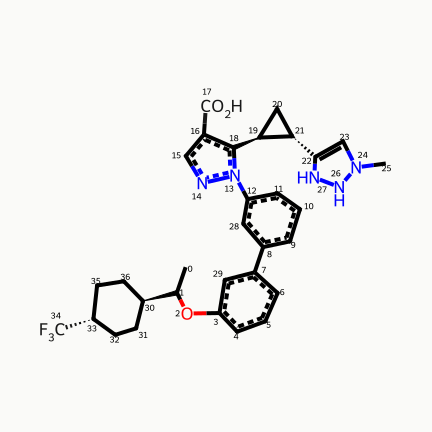 CC(Oc1cccc(-c2cccc(-n3ncc(C(=O)O)c3[C@H]3C[C@@H]3C3=CN(C)NN3)c2)c1)[C@H]1CC[C@H](C(F)(F)F)CC1